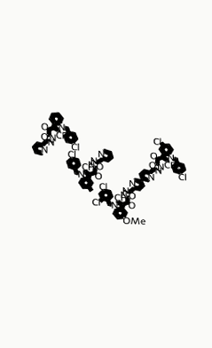 COc1ccc2c(c1)c(C(=O)c1nnc(-c3ccccn3)o1)c(C(F)(F)F)n2Cc1ccc(Cl)cc1Cl.Cc1ccc2c(c1)c(C(=O)c1nnc(-c3ccccn3)o1)c(C(F)(F)F)n2Cc1ccc(Cl)cc1.O=C(c1nnc(-c2ccccn2)o1)c1c(C(F)(F)F)n(Cc2ccc(Cl)cc2)c2ccc(Cl)cc12.O=C(c1nnc(-c2ccccn2)o1)c1c(C(F)(F)F)n(Cc2ccc(Cl)cc2)c2ccccc12